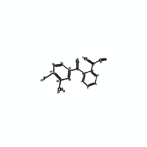 COC(=O)c1ccccc1C(=O)c1ccc(F)c(C)c1